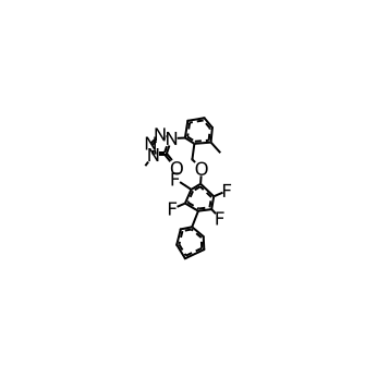 Cc1cccc(-n2nnn(C)c2=O)c1COc1c(F)c(F)c(-c2ccccc2)c(F)c1F